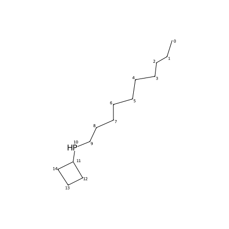 CCCCCCCCCCPC1CCC1